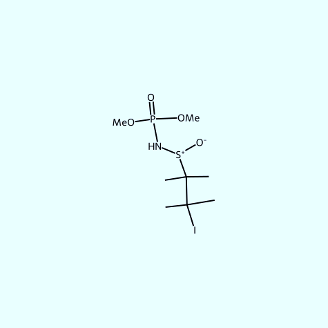 COP(=O)(N[S+]([O-])C(C)(C)C(C)(C)I)OC